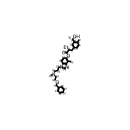 CCC(Cc1ccc(C)c([C@H](C)O)c1)C(=O)Oc1ccc2c(nnn2CCCN(C)CCOCc2ccccc2)c1C